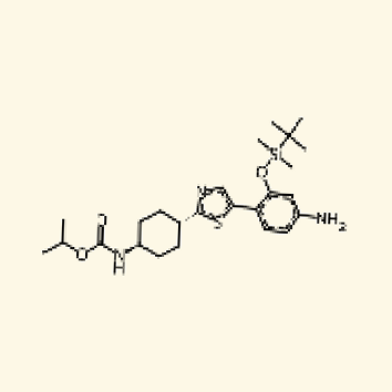 CC(C)OC(=O)N[C@H]1CC[C@H](c2ncc(-c3ccc(N)cc3O[Si](C)(C)C(C)(C)C)s2)CC1